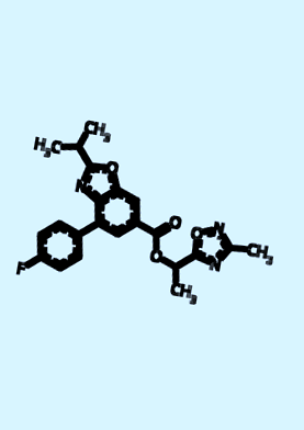 Cc1noc(C(C)OC(=O)c2cc(-c3ccc(F)cc3)c3nc(C(C)C)oc3c2)n1